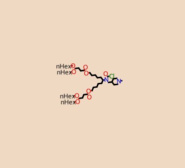 CCCCCCOC(CCC(=O)OCCCCCC(CCCCCOC(=O)CCC(OCCCCCC)OCCCCCC)N(CC1CCN(C)CC1)C(=O)Cl)OCCCCCC